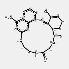 COc1cc2cc3c(ncnc13)/N=C1/C(Cl)=CCCC1C(C)NCC(=O)NCCO2